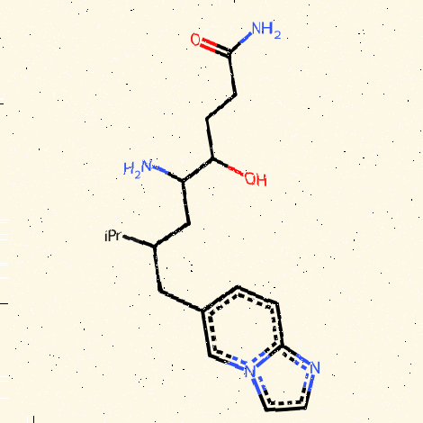 CC(C)C(Cc1ccc2nccn2c1)CC(N)C(O)CCC(N)=O